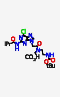 CC(C)C(=O)Nc1nc(Cl)c2ncn(CC(=O)N(CCNC(=O)OC(C)(C)C)CC(=O)O)c2n1